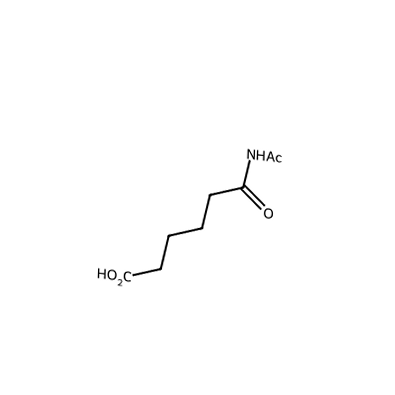 CC(=O)NC(=O)CCCCC(=O)O